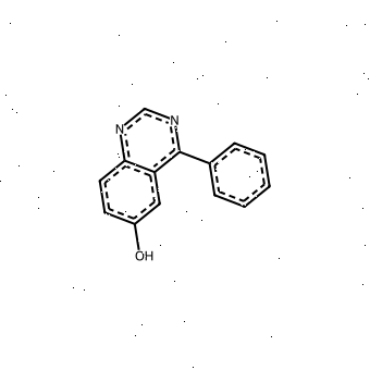 Oc1ccc2ncnc(-c3ccccc3)c2c1